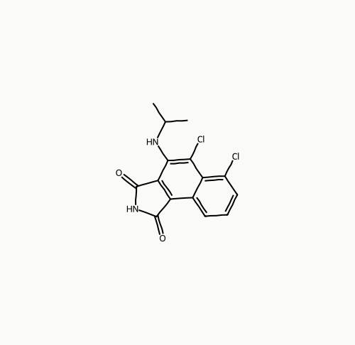 CC(C)Nc1c2c(c3cccc(Cl)c3c1Cl)C(=O)NC2=O